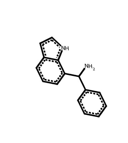 NC(c1ccccc1)c1cccc2cc[nH]c12